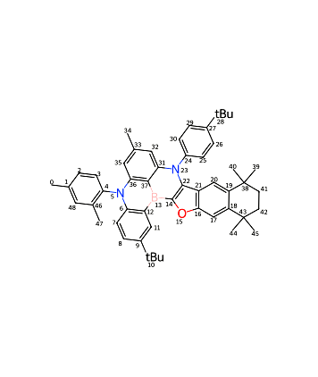 Cc1ccc(N2c3ccc(C(C)(C)C)cc3B3c4oc5cc6c(cc5c4N(c4ccc(C(C)(C)C)cc4)c4cc(C)cc2c43)C(C)(C)CCC6(C)C)c(C)c1